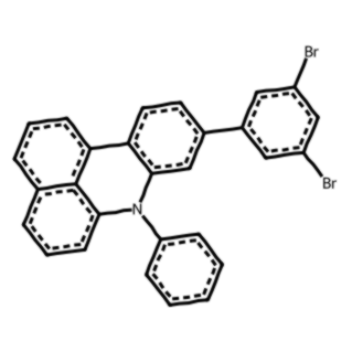 Brc1cc(Br)cc(-c2ccc3c(c2)N(c2ccccc2)c2cccc4cccc-3c24)c1